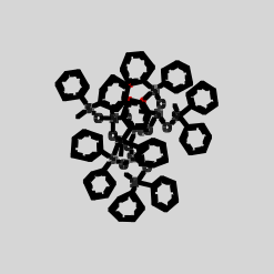 C[Si]([O][Fe]([O][Si](C)(O[Si](C)(c1ccccc1)c1ccccc1)O[Si](C)(c1ccccc1)c1ccccc1)[O][Si](C)(O[Si](C)(c1ccccc1)c1ccccc1)O[Si](C)(c1ccccc1)c1ccccc1)(O[Si](C)(c1ccccc1)c1ccccc1)O[Si](C)(c1ccccc1)c1ccccc1